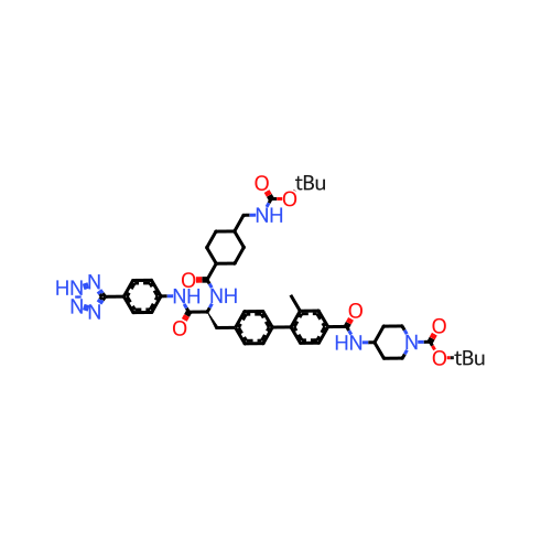 Cc1cc(C(=O)NC2CCN(C(=O)OC(C)(C)C)CC2)ccc1-c1ccc(C[C@H](NC(=O)C2CCC(CNC(=O)OC(C)(C)C)CC2)C(=O)Nc2ccc(-c3nn[nH]n3)cc2)cc1